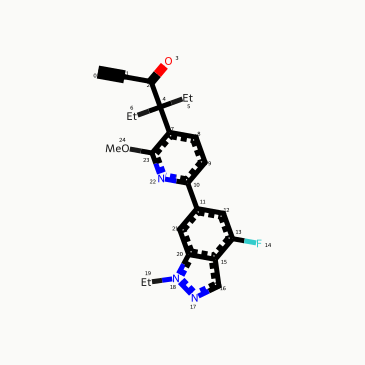 C#CC(=O)C(CC)(CC)c1ccc(-c2cc(F)c3cnn(CC)c3c2)nc1OC